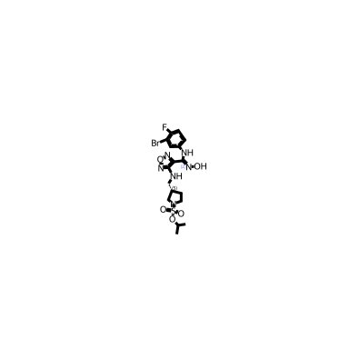 CC(C)OS(=O)(=O)N1CC[C@@H](CNc2nonc2/C(=N/O)Nc2ccc(F)c(Br)c2)C1